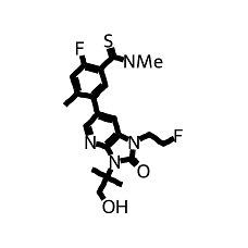 CNC(=S)c1cc(-c2cnc3c(c2)n(CCF)c(=O)n3C(C)(C)CO)c(C)cc1F